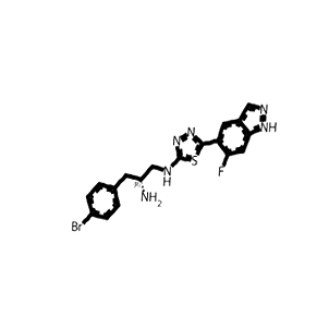 N[C@@H](CNc1nnc(-c2cc3cn[nH]c3cc2F)s1)Cc1ccc(Br)cc1